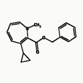 CN1C=CC=CC(C2CC2)=C1C(=O)OCc1ccccc1